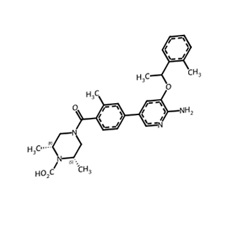 Cc1cc(-c2cnc(N)c(OC(C)c3ccccc3C)c2)ccc1C(=O)N1C[C@@H](C)N(C(=O)O)[C@@H](C)C1